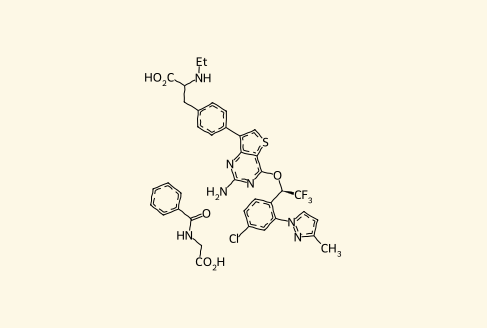 CCNC(Cc1ccc(-c2csc3c(O[C@H](c4ccc(Cl)cc4-n4ccc(C)n4)C(F)(F)F)nc(N)nc23)cc1)C(=O)O.O=C(O)CNC(=O)c1ccccc1